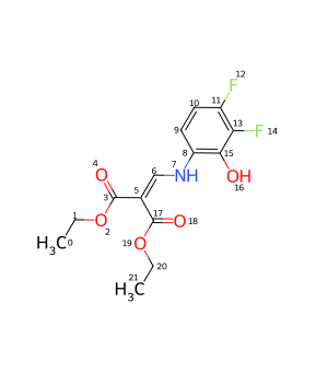 CCOC(=O)C(=CNc1ccc(F)c(F)c1O)C(=O)OCC